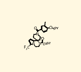 COC(=O)N1CCn2c(C(F)(F)F)ccc2C12CCN(C(=O)c1ccc(OC(C)C)c(C)c1)CC2